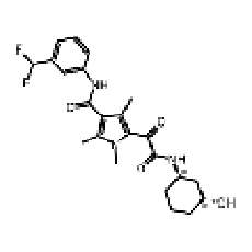 Cc1c(C(=O)Nc2cccc(C(F)F)c2)c(C)n(C)c1C(=O)C(=O)N[C@@H]1CCC[C@@H](O)C1